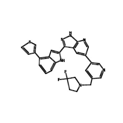 FC1(F)CCN(Cc2cncc(-c3cnc4[nH]nc(-c5cc6c(-c7ccsc7)cccc6[nH]5)c4c3)c2)C1